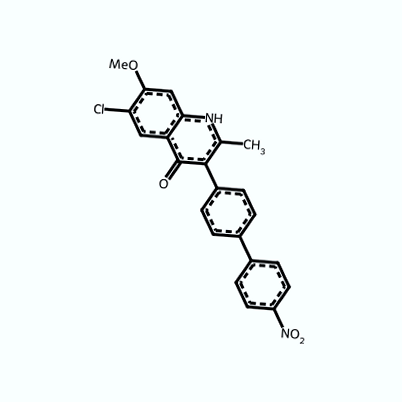 COc1cc2[nH]c(C)c(-c3ccc(-c4ccc([N+](=O)[O-])cc4)cc3)c(=O)c2cc1Cl